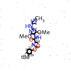 COc1nc(NC2CN(C)C2)nc(OC)c1NC(=O)c1coc(Oc2cccc(C(C)(C)C)c2)n1